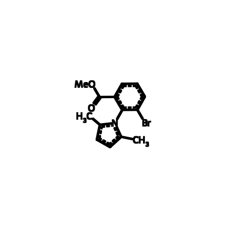 COC(=O)c1cccc(Br)c1-n1c(C)ccc1C